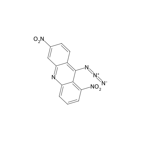 [N-]=[N+]=Nc1c2ccc([N+](=O)[O-])cc2nc2cccc([N+](=O)[O-])c12